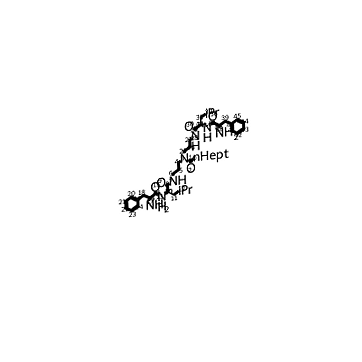 CCCCCCCC(=O)N(CCCNC(=O)[C@@H](CC(C)C)NC(=O)[C@H](N)Cc1ccccc1)CCCNC(=O)[C@@H](CC(C)C)NC(=O)[C@H](N)Cc1ccccc1